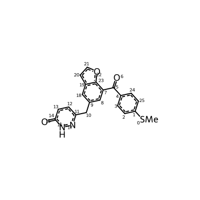 CSc1ccc(C(=O)c2cc(Cc3ccc(=O)[nH]n3)cc3ccoc23)cc1